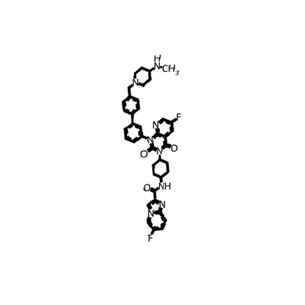 CNC1CCN(Cc2ccc(-c3cccc(-n4c(=O)n(C5CCC(NC(=O)c6cn7cc(F)ccc7n6)CC5)c(=O)c5cc(F)cnc54)c3)cc2)CC1